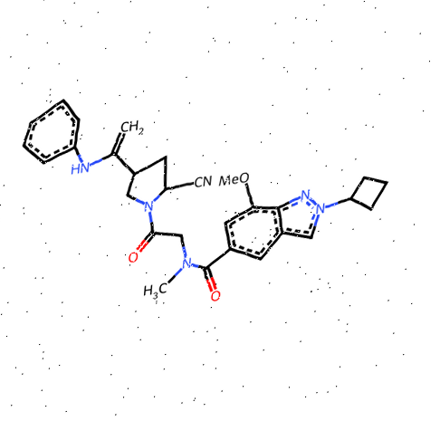 C=C(Nc1ccccc1)C1CC(C#N)N(C(=O)CN(C)C(=O)c2cc(OC)c3nn(C4CCC4)cc3c2)C1